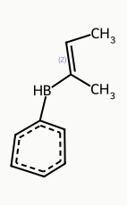 C/C=C(\C)Bc1ccccc1